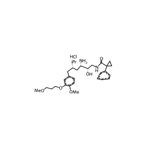 COCCCOc1cc(C[C@@H](C[C@H](N)[C@@H](O)CNC(=O)C2(c3ccccc3)CC2)C(C)C)ccc1OC.Cl